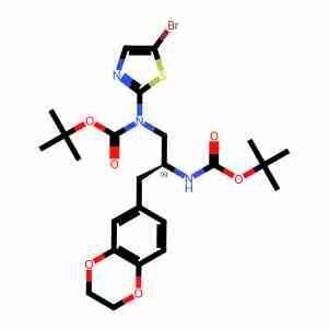 CC(C)(C)OC(=O)N[C@@H](Cc1ccc2c(c1)OCCO2)CN(C(=O)OC(C)(C)C)c1ncc(Br)s1